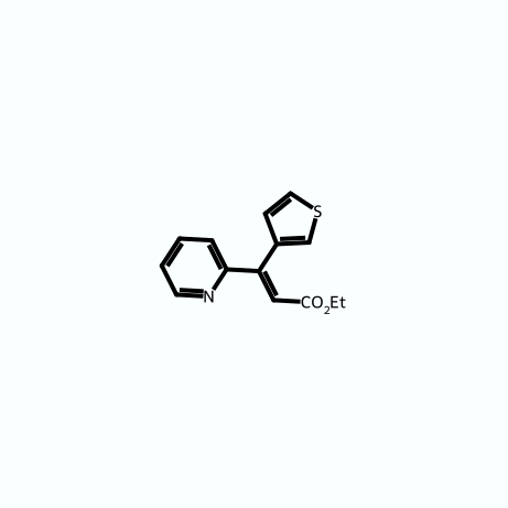 CCOC(=O)C=C(c1ccsc1)c1ccccn1